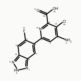 Nc1cc(-c2cc3n[nH]nc3cc2F)nc(C(=O)O)c1Cl